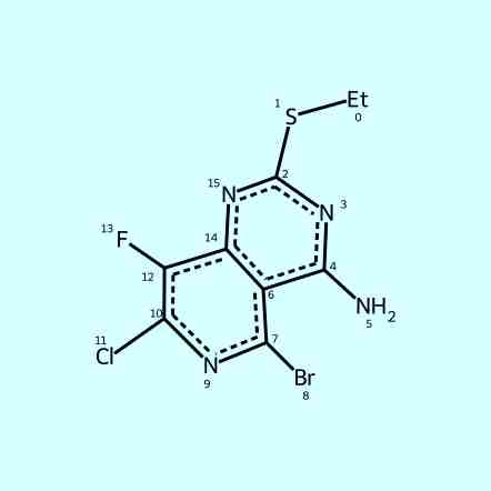 CCSc1nc(N)c2c(Br)nc(Cl)c(F)c2n1